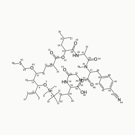 C/C=C(\C)C(O[Si](C)(C)C(C)(C)C)C(C)C(C/C=C(\C)C(=O)OC(CC(C)C)C(=O)NC(C)C(=O)N(C)C(Cc1ccc(C#N)cc1)C(=O)N(C)CC(=O)NC(C(=O)O)C(C)CC)OCSC